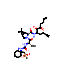 C#CCCC(NC(=O)[C@@H]1C2C(CN1C(=O)[C@@H](NC(=O)NC1(CS(C)(=O)=O)CCCCC1)C(C)(C)C)C2(C)C)C(=O)C(=O)CCC=C